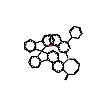 C=C1/C=C\C=C/N(c2nc(C3C=CC=CC3)c3ccccc3n2)c2c1ccc1c3c(ccc21)C1(c2ccccc2-c2ccccc21)c1ccccc1-3